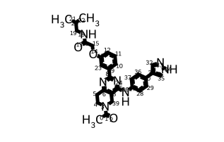 CC(=O)N1CCc2nc(-c3cccc(OCC(=O)NCC(C)C)c3)nc(Nc3ccc(-c4cn[nH]c4)cc3)c2C1